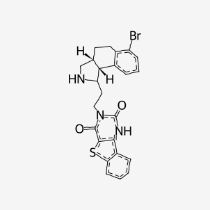 O=c1[nH]c2c(sc3ccccc32)c(=O)n1CCC1NC[C@@H]2CCc3c(Br)cccc3[C@H]12